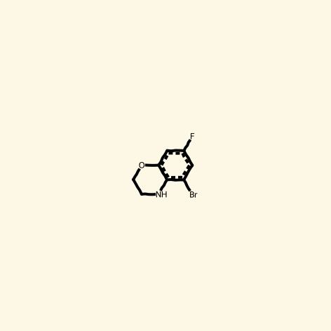 Fc1cc(Br)c2c(c1)OCCN2